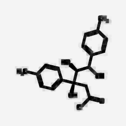 Cc1ccc(C(O)[C@H](O)[C@](O)(CC(=O)Cl)c2ccc(C)cc2)cc1